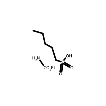 CCCCCS(=O)(=O)O.CCOC(N)=O